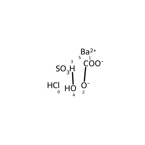 Cl.O=C([O-])[O-].O=S(=O)(O)O.[Ba+2]